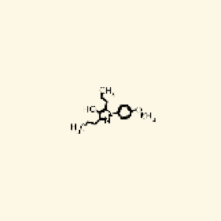 CCCc1nn(-c2ccc(OC)cc2)c(CCC)c1O